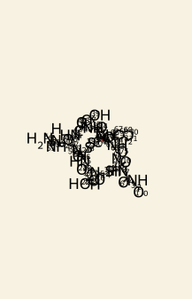 COCCNC(=O)CNC(=O)[C@@H]1CSCC(=O)N[C@@H](CC(=O)O)C(=O)N[C@H]2CSSC[C@H](NC(=O)[C@H](CC(=O)O)NC(=O)CNC(=O)[C@H](CCCNC(=N)N)N(C)C2=O)C(=O)N[C@@H](Cc2cccc3ccccc23)C(=O)N1